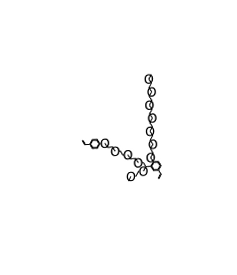 C=Cc1ccc(OCCOCCOCCOCC(OCCOC)c2cc(C=C)ccc2OCCOCCOCCOCCOCCOCCOC)cc1